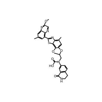 COc1cnc2c(-c3nc4c(C)cc5c(c4s3)OCC(CN(C(=O)O)c3ccc4c(c3)C(=O)NCC4)O5)cc(C)cc2n1